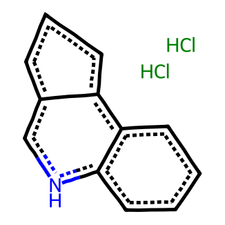 Cl.Cl.c1cc2c[nH]c3ccccc3c-2c1